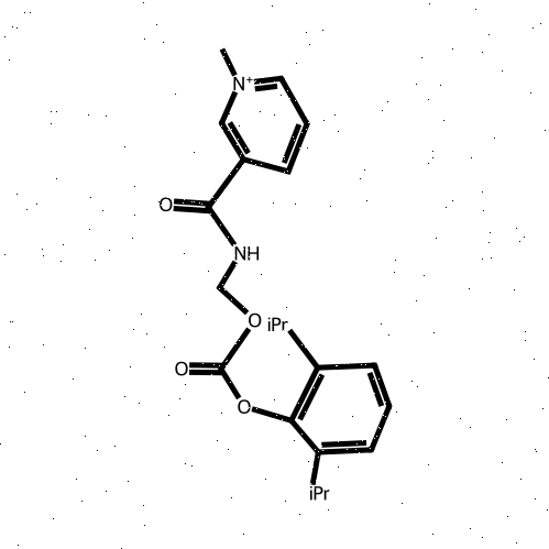 CC(C)c1cccc(C(C)C)c1OC(=O)OCNC(=O)c1ccc[n+](C)c1